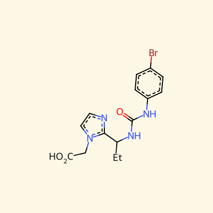 CCC(NC(=O)Nc1ccc(Br)cc1)c1nccn1CC(=O)O